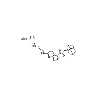 CSC(C)CCNCCCNc1ccc2c(NC(=O)CC34CC5CC(CC(C5)C3)C4)cccc2n1